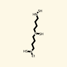 CCN(S)CCCCN(S)CCCCNS